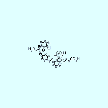 C/C=C/C(Oc1ccc(/C=C/c2cccc3c(CCCC(=O)O)cn(CC(=O)O)c23)cc1)Oc1c(F)ccc(F)c1Cl